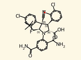 CC(C)(C)C[C@@H]1N(c2cc(C(N)=O)ccc2C(N)=O)[C@@H](C(=O)O)[C@H](c2cccc(Cl)c2F)[C@@]1(C#N)c1ccc(Cl)cc1F